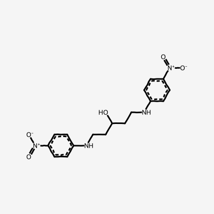 O=[N+]([O-])c1ccc(NCCC(O)CCNc2ccc([N+](=O)[O-])cc2)cc1